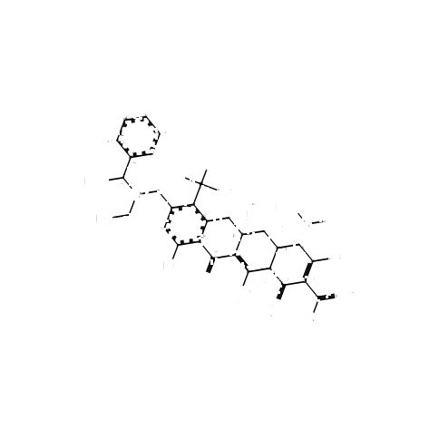 CCN(Cc1cc(O)c2c(c1C(F)(F)F)C[C@H]1C[C@H]3[C@H](N(C)C)C(O)=C(C(N)=O)C(=O)[C@@]3(O)C(O)=C1C2=O)C(C)c1ccccc1